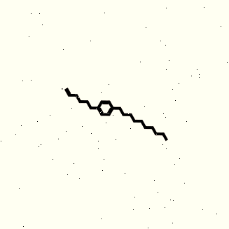 [CH]=CCCCCc1ccc(CCCCCCCCCC)cc1